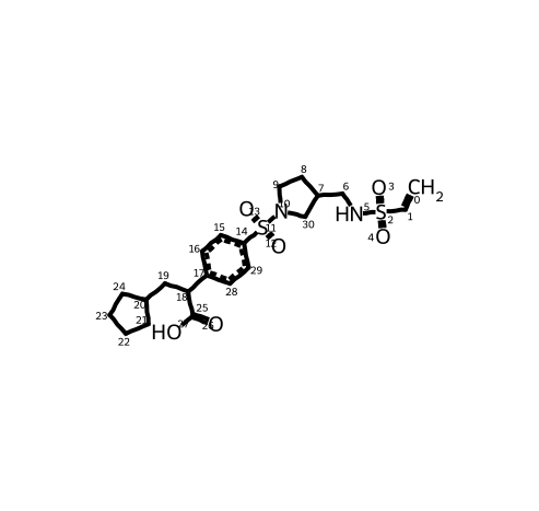 C=CS(=O)(=O)NCC1CCN(S(=O)(=O)c2ccc(C(CC3CCCC3)C(=O)O)cc2)C1